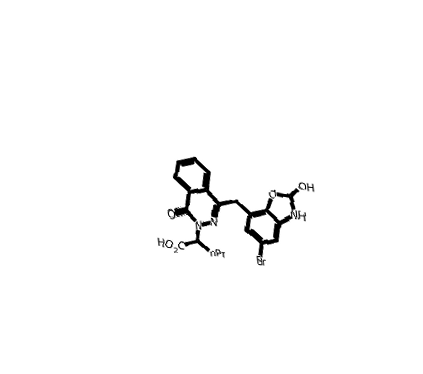 CCCC(C(=O)O)n1nc(Cc2cc(Br)cc3c2OC(O)N3)c2ccccc2c1=O